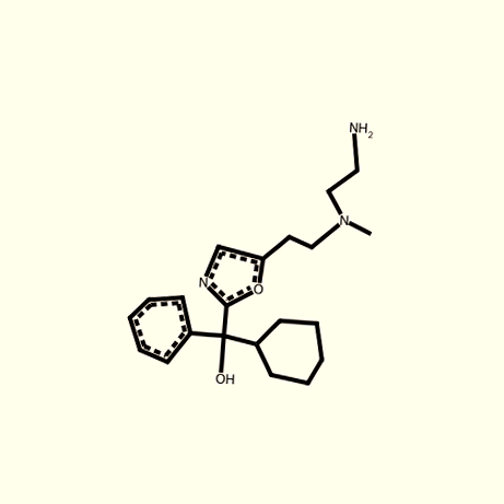 CN(CCN)CCc1cnc(C(O)(c2ccccc2)C2CCCCC2)o1